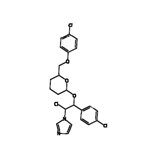 Clc1ccc(OCC2CCCC(OC(c3ccc(Cl)cc3)C(Cl)n3ccnc3)O2)cc1